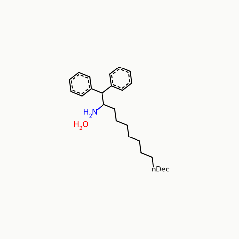 CCCCCCCCCCCCCCCCCC(N)C(c1ccccc1)c1ccccc1.O